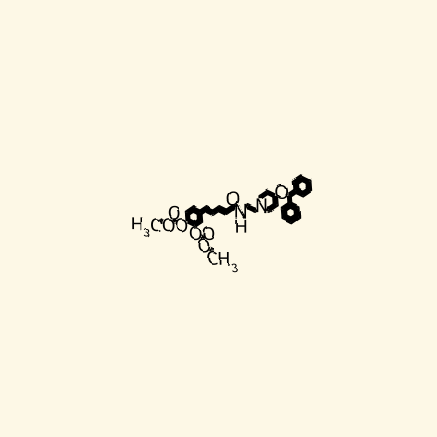 CCOC(=O)Oc1ccc(C=CC=CC(=O)NCCN2CCC(OC(c3ccccc3)c3ccccc3)CC2)cc1OC(=O)OCC